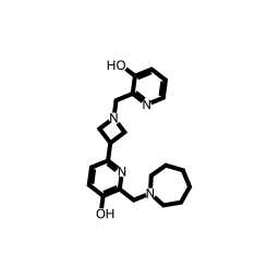 Oc1cccnc1CN1CC(c2ccc(O)c(CN3CCCCCC3)n2)C1